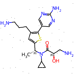 C[C@H](c1cc(CCCN)c(-c2cnc(N)nc2)s1)N(C(=O)[C@H](O)CN)C1CC1